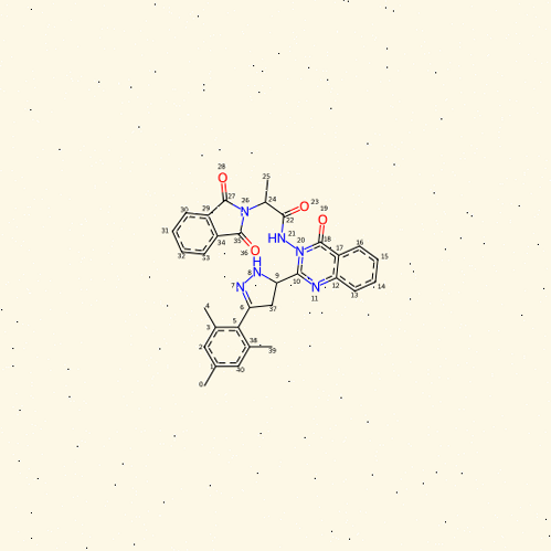 Cc1cc(C)c(C2=NNC(c3nc4ccccc4c(=O)n3NC(=O)C(C)N3C(=O)c4ccccc4C3=O)C2)c(C)c1